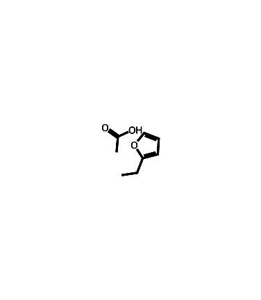 CC(=O)O.CCc1ccco1